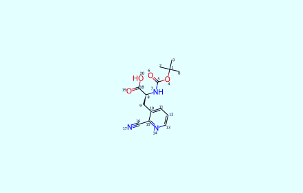 CC(C)(C)OC(=O)N[C@@H](Cc1cccnc1C#N)C(=O)O